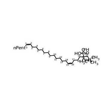 CCCCC/C=C\CCCCCCCCCCCC/C=C\CCCC(O)(C[N+](C)(C)C)P(=O)(O)O